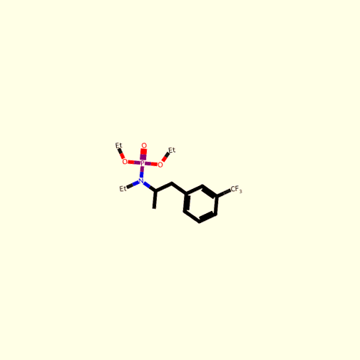 CCOP(=O)(OCC)N(CC)C(C)Cc1cccc(C(F)(F)F)c1